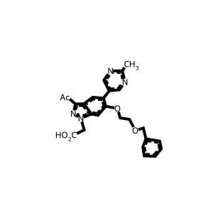 CC(=O)c1nn(CC(=O)O)c2cc(OCCOCc3ccccc3)c(-c3cnc(C)nc3)cc12